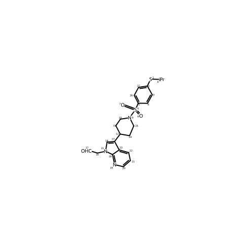 CC(C)Sc1ccc(S(=O)(=O)N2CCC(c3cn(CC=O)c4ncccc34)CC2)cc1